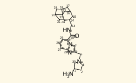 N[C@@H]1CCN(Cc2cn3c(C(=O)NCC45CC6CC7CC(C4)C7(C6)C5)cccc3n2)C1